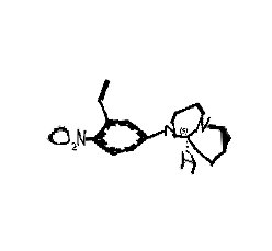 C=Cc1cc(N2CCN3CCC[C@H]3C2)ccc1[N+](=O)[O-]